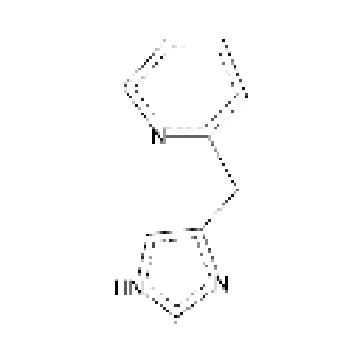 [c]1nc(Cc2ccccn2)c[nH]1